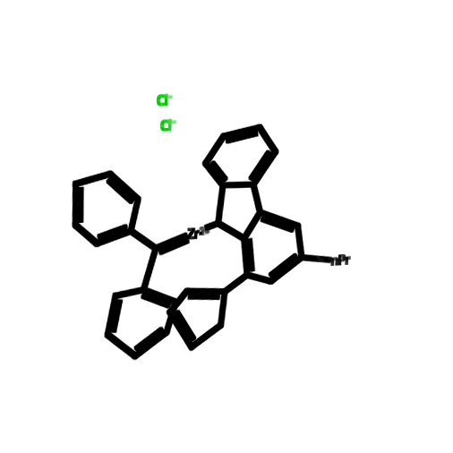 CCCc1cc(C2=CC=CC2)c2c(c1)-c1ccccc1[CH]2[Zr+2]=[C](c1ccccc1)c1ccccc1.[Cl-].[Cl-]